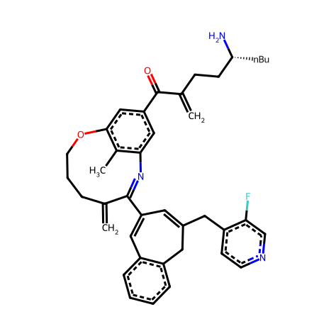 C=C(CC[C@H](N)CCCC)C(=O)c1cc2c(C)c(c1)OCCCC(=C)/C(C1=Cc3ccccc3CC(Cc3ccncc3F)=C1)=N\2